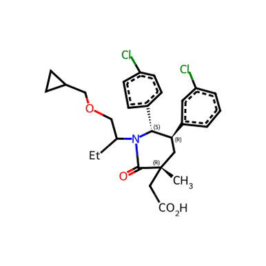 CCC(COCC1CC1)N1C(=O)[C@@](C)(CC(=O)O)C[C@H](c2cccc(Cl)c2)[C@H]1c1ccc(Cl)cc1